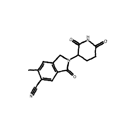 Cc1cc2c(cc1C#N)C(=O)N(C1CCC(=O)NC1=O)C2